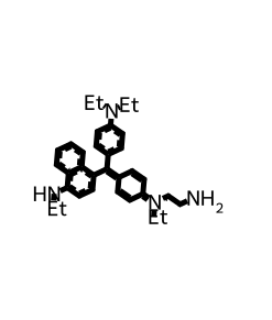 CCNc1ccc(C(=C2C=CC(=[N+](CC)CCN)C=C2)c2ccc(N(CC)CC)cc2)c2ccccc12